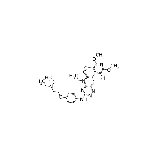 CCN(CC)CCOc1ccc(Nc2nnc3cc(-c4c(Cl)c(OC)nc(OC)c4Cl)c(=O)n(CC)c3n2)cc1